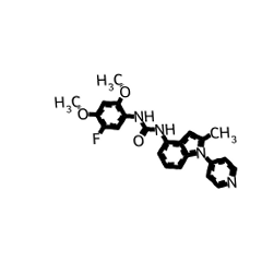 COc1cc(OC)c(NC(=O)Nc2cccc3c2cc(C)n3-c2ccncc2)cc1F